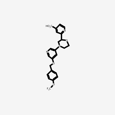 O=C(O)c1ccnc(C2CN(c3cncc(OCc4ccc(OC(F)(F)F)cc4)c3)CCO2)c1